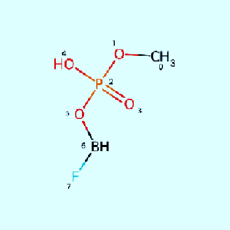 COP(=O)(O)OBF